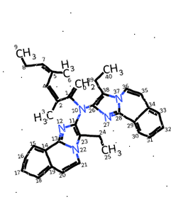 C=C(/C(C)=C\C(C)=C/CC)N(c1nc2c3ccccc3ccn2c1CC)c1nc2c3ccccc3ccn2c1CC